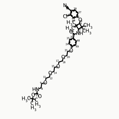 CC(C)(C)OC(=O)NCCOCCOCCOCCOCCOc1ccc(C(=O)NC2C(C)(C)C(Oc3ccc(C#N)c(Cl)c3)C2(C)C)cc1